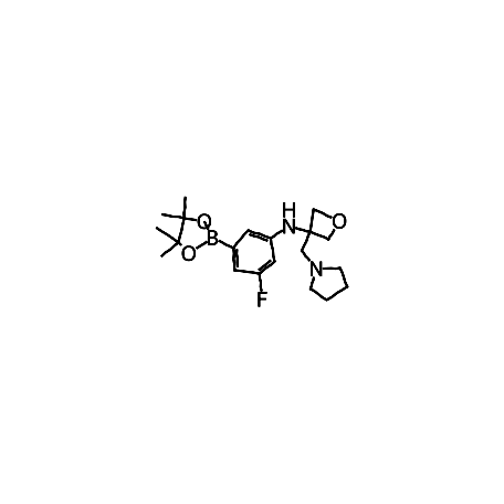 CC1(C)OB(c2cc(F)cc(NC3(CN4CCCC4)COC3)c2)OC1(C)C